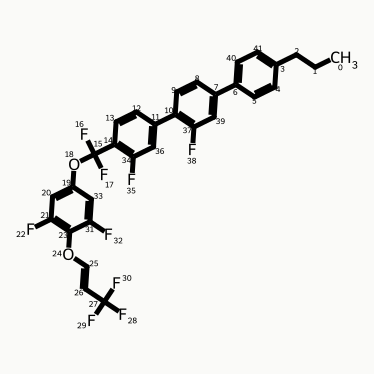 CCCc1ccc(-c2ccc(-c3ccc(C(F)(F)Oc4cc(F)c(O/C=C/C(F)(F)F)c(F)c4)c(F)c3)c(F)c2)cc1